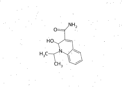 CC(C)N1c2ccccc2C=C(C(N)=O)C1O